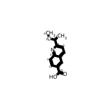 COC(C)c1ccc2cc(C(=O)O)ccc2n1